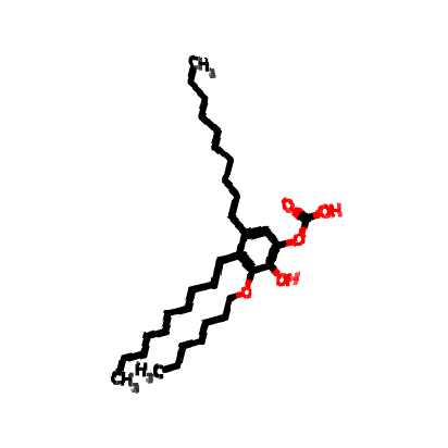 CCCCCCCCCCc1cc(OC(=O)O)c(O)c(OCCCCCCC)c1CCCCCCCCCC